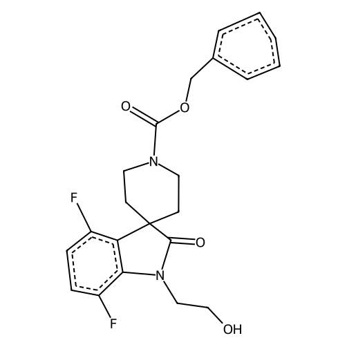 O=C(OCc1ccccc1)N1CCC2(CC1)C(=O)N(CCO)c1c(F)ccc(F)c12